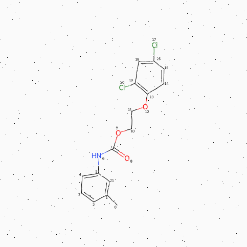 Cc1cccc(NC(=O)OCCOc2ccc(Cl)cc2Cl)c1